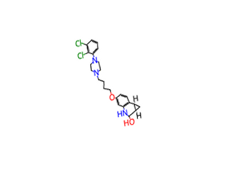 OC1Nc2cc(OCCCCN3CCN(c4cccc(Cl)c4Cl)CC3)ccc2[C@H]2C[C@@H]12